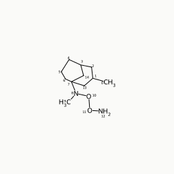 CC1CC2CCCC(N(C)OON)(C1)C2